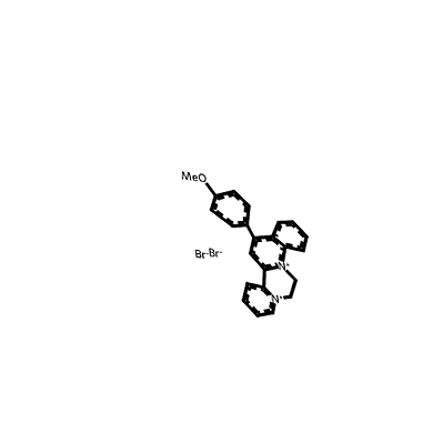 COc1ccc(-c2cc3[n+](c4ccccc24)CC[n+]2ccccc2-3)cc1.[Br-].[Br-]